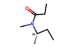 CCC(=O)N(C)[C@@H](C)CC